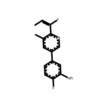 C/C=C(/F)c1ncc(-c2ccc(F)c(CCC)c2)cc1C